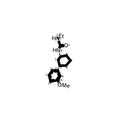 CCNC(=O)N[C@@H]1CCC[C@H](c2cccc(OC)c2)C1